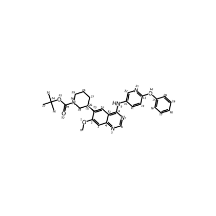 COc1cc2ncnc(Nc3ccc(Oc4ccccc4)nc3)c2cc1[C@@H]1CCCN(C(=O)OC(C)(C)C)C1